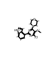 CSc1c(Cl)nc(-c2cccc3[nH]ncc23)nc1N1CCOCC1